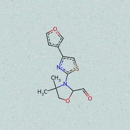 CC1(C)COC(C=O)N1c1nc(-c2ccoc2)cs1